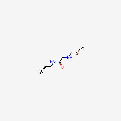 C=CCNC(=O)CNCSC(C)C